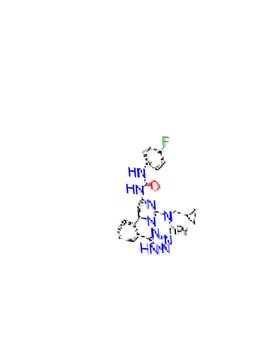 CCCN(CC1CC1)c1nc(NC(=O)Nc2ccc(F)cc2)cc(-c2ccccc2-c2nnn[nH]2)n1